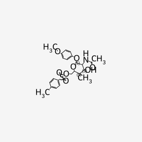 COc1ccc(O[C@@H]2OC(COS(=O)(=O)c3ccc(C)cc3)[C@@H](C)[C@H](O)C2NC(C)=O)cc1